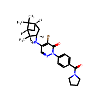 C[C@@H]1[C@H]2C[C@@H](C[C@H]1Nc1cnn(-c3ccc(C(=O)N4CCCC4)cc3)c(=O)c1Br)C2(C)C